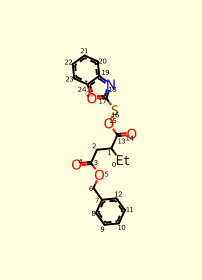 CCC(CC(=O)OCc1ccccc1)C(=O)OSc1nc2ccccc2o1